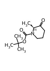 C[C@H]1C(=O)CCCN1C(=O)OC(C)(C)C